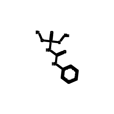 CCOP(=O)(NC(=O)Nc1ccccc1)SC(C)CC